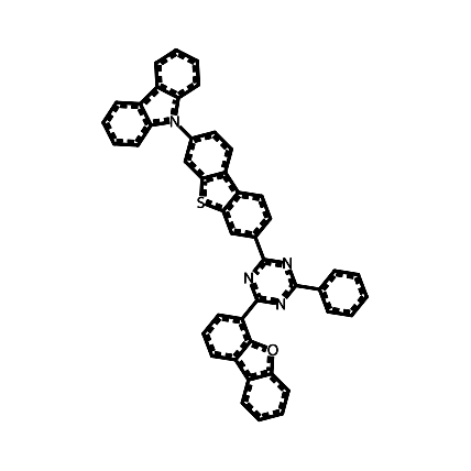 c1ccc(-c2nc(-c3ccc4c(c3)sc3cc(-n5c6ccccc6c6ccccc65)ccc34)nc(-c3cccc4c3oc3ccccc34)n2)cc1